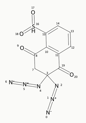 [N-]=[N+]=NC1(N=[N+]=[N-])CC(=O)c2c(cccc2[SH](=O)=O)C1=O